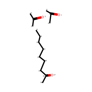 CC(C)=O.CC(C)=O.CCCCCCCC(C)=O